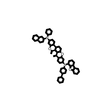 C=C1c2ccc(N(c3ccc(-c4ccccc4)cc3)c3cccc4c3oc3ccccc34)cc2Oc2ccc3c(c21)C(=C)Oc1cc(N(c2ccccc2)c2ccc4ccccc4c2)ccc1-3